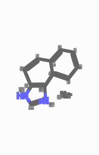 [Na].c1ccc2c(c1)ccc1[nH]cnc12